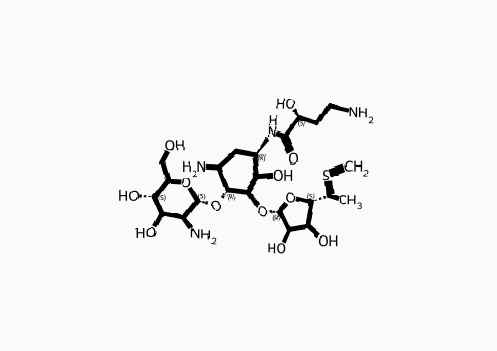 C=S=C(C)[C@H]1O[C@@H](OC2C(O)[C@H](NC(=O)[C@@H](O)CCN)CC(N)[C@H]2O[C@H]2OC(CO)[C@@H](O)C(O)C2N)C(O)C1O